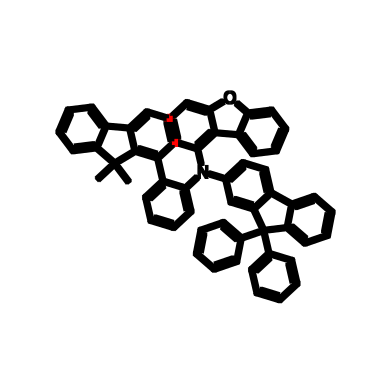 CC1(C)c2ccccc2-c2cccc(-c3ccccc3N(c3ccc4c(c3)C(c3ccccc3)(c3ccccc3)c3ccccc3-4)c3cccc4oc5ccccc5c34)c21